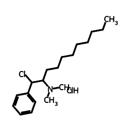 CCCCCCCCCC(C(Cl)c1ccccc1)N(C)C.Cl